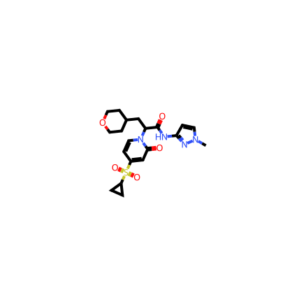 Cn1ccc(NC(=O)C(CC2CCOCC2)n2ccc(S(=O)(=O)C3CC3)cc2=O)n1